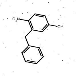 O=[N+]([O-])c1ccc(O)cc1Cc1ccccc1